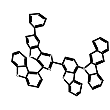 c1ccc(-c2ccc3oc4c(-c5cccc6oc7ccccc7c56)nc(-c5ccc(-n6c7ccccc7c7cc8ccccc8cc76)c6c5oc5ccccc56)nc4c3c2)cc1